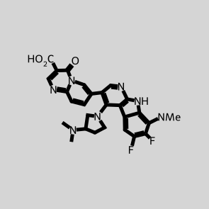 CNc1c(F)c(F)cc2c1[nH]c1ncc(-c3ccc4ncc(C(=O)O)c(=O)n4c3)c(N3CCC(N(C)C)C3)c12